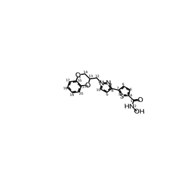 O=C(NO)c1ccc(-c2ccn(CC3COc4ccccc4O3)n2)s1